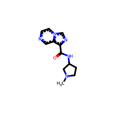 CN1CCC(NC(=O)c2ncn3ccncc23)C1